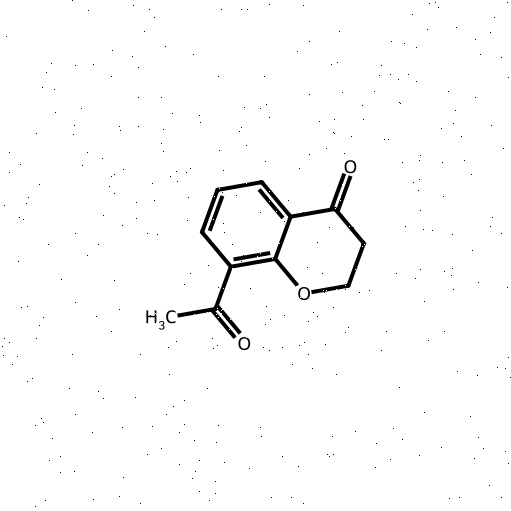 CC(=O)c1cccc2c1OCCC2=O